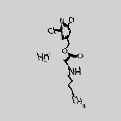 CCCCCNCC(=O)OCc1cc(Cl)nc(Cl)c1.Cl